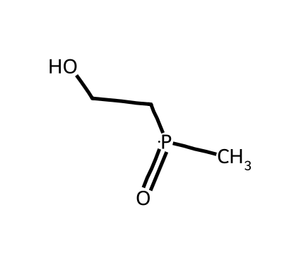 C[P](=O)CCO